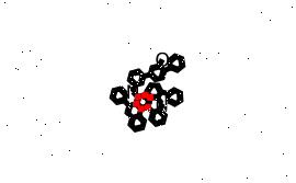 c1cc(-c2ccc3c(c2)oc2ccccc23)cc(N(c2ccc(-c3ccccc3-n3c4ccccc4c4ccccc43)cc2)c2ccccc2-c2cc3ccccc3c3ccccc23)c1